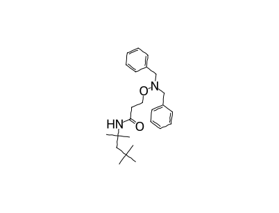 CC(C)(C)CC(C)(C)NC(=O)CCON(Cc1ccccc1)Cc1ccccc1